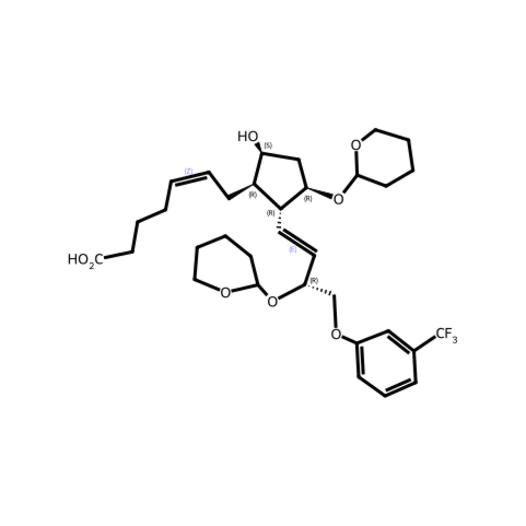 O=C(O)CCC/C=C\C[C@@H]1[C@@H](/C=C/[C@H](COc2cccc(C(F)(F)F)c2)OC2CCCCO2)[C@H](OC2CCCCO2)C[C@@H]1O